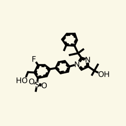 Cc1ccccc1C(C)(C)c1nc(C(C)(C)O)cn1-c1ccc(-c2cc(F)c(CO)c(S(C)(=O)=O)c2)cc1